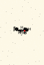 NC(=O)c1c(CNC(=O)[CH]Cc2ccc(F)c(F)c2)cnc2[nH]ccc12